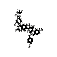 COc1ccc(CN(Cc2ccc(OC)cc2)c2cc(C)c(I)c(-c3c(Cl)cc4c(N5CCN(C(=O)OC(C)(C)C)C[C@@H]5C)nc(F)nc4c3F)n2)cc1